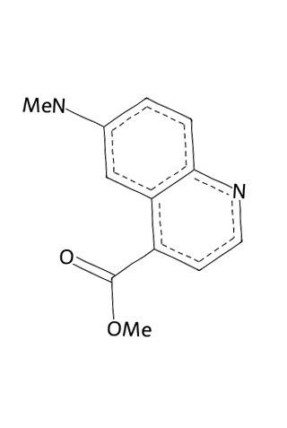 CNc1ccc2nccc(C(=O)OC)c2c1